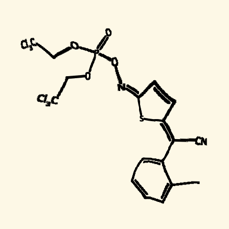 Cc1ccccc1/C(C#N)=C1C=C/C(=N\OP(=O)(OCC(Cl)(Cl)Cl)OCC(Cl)(Cl)Cl)S/1